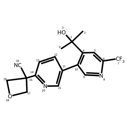 CC(C)(O)c1cc(C(F)(F)F)ncc1-c1ccc(C2(C#N)COC2)nc1